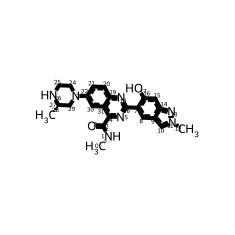 CNC(=O)c1nc(-c2cc3cn(C)nc3cc2O)nc2ccc(N3CCN[C@H](C)C3)cc12